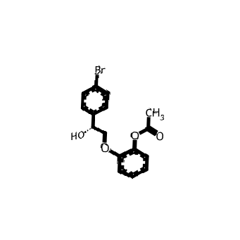 CC(=O)Oc1ccccc1OC[C@H](O)c1ccc(Br)cc1